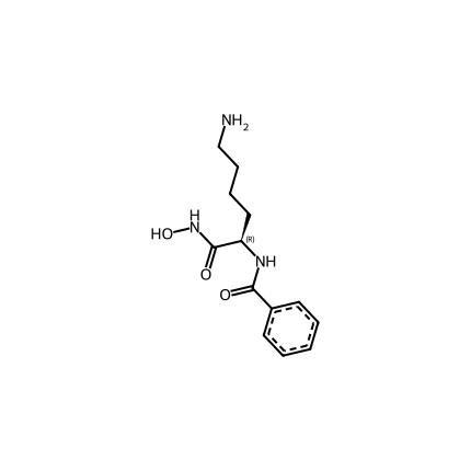 NCCCC[C@@H](NC(=O)c1ccccc1)C(=O)NO